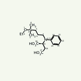 CCO[Si](C)(C)CCCN(c1ccccc1)[C@@H](CC(=O)O)C(=O)O